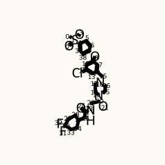 CS(=O)(=O)c1ccc(Oc2cc(Cl)cc(CN3CCN(C(=O)CNC(=O)CC4CCC(F)(F)CC4)CC3)c2)cc1